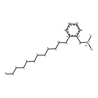 CCCCCCCCCCCCc1ccccc1C[S+](C)C